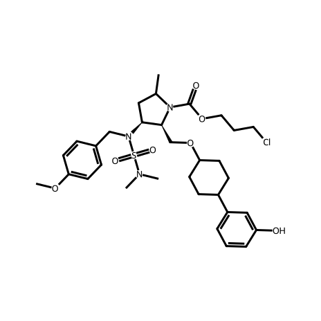 COc1ccc(CN([C@H]2CC(C)N(C(=O)OCCCCl)[C@H]2COC2CCC(c3cccc(O)c3)CC2)S(=O)(=O)N(C)C)cc1